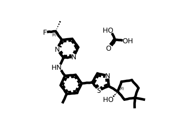 Cc1cc(Nc2nccc([C@@H](C)F)n2)cc(-c2cnc([C@@]3(O)CCCC(C)(C)C3)s2)c1.O=C(O)O